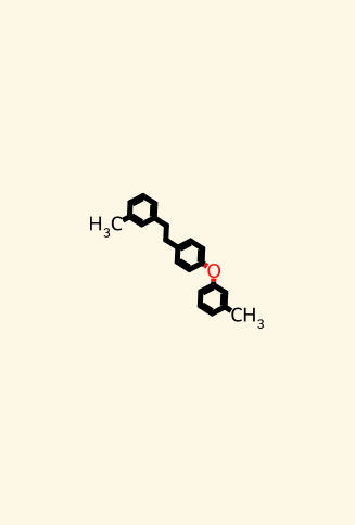 Cc1cccc(CCc2ccc(Oc3cccc(C)c3)cc2)c1